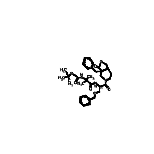 CC(C)(C)OC(=O)NC(C)(C)C(=O)N[C@H](COCc1ccccc1)C(=O)N1CCC2COC(=O)C2(Cc2ccccc2)C1